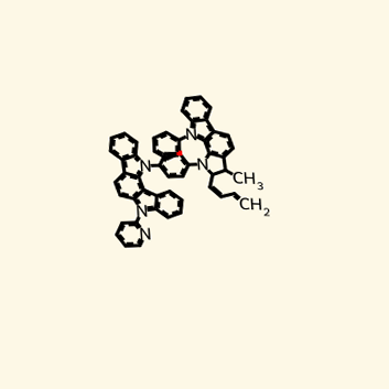 C=C/C=C\C1C(C)c2ccc3c4ccccc4n(-c4ccccc4)c3c2N1c1ccc(-n2c3ccccc3c3ccc4c(c5ccccc5n4-c4ccccn4)c32)cc1